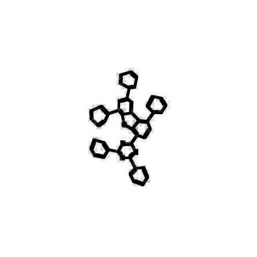 c1ccc(-c2cc(-c3ccccc3)c3oc4c(-c5nc(-c6ccccc6)nc(-c6ccccc6)n5)ccc(-c5ccccc5)c4c3c2)cc1